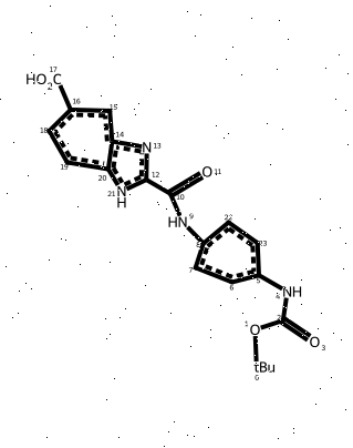 CC(C)(C)OC(=O)Nc1ccc(NC(=O)c2nc3cc(C(=O)O)ccc3[nH]2)cc1